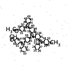 COc1ccc(N(c2ccccc2)c2ccc(-n3c4cc(N(c5ccccc5)c5ccc(C)cc5)ccc4c4ccc(N(c5ccccc5)c5ccc(OC)cc5)cc43)cc2)cc1